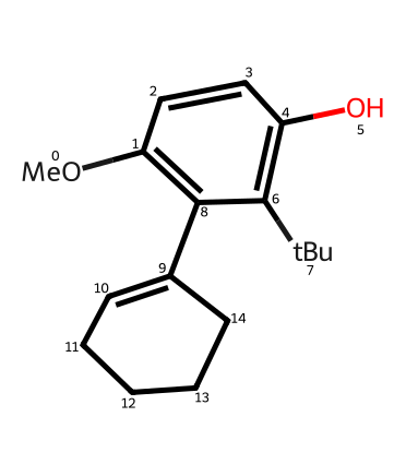 COc1ccc(O)c(C(C)(C)C)c1C1=CCCCC1